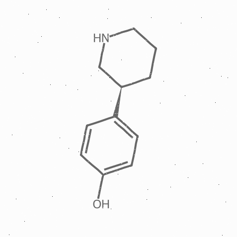 Oc1ccc([C@@H]2CCCNC2)cc1